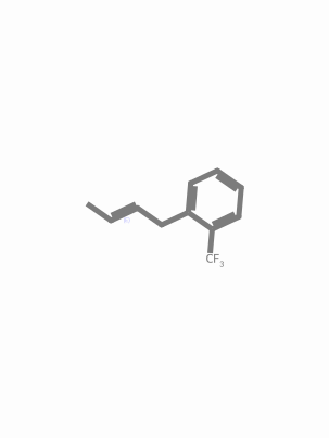 C/C=C/Cc1ccccc1C(F)(F)F